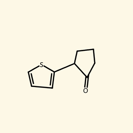 O=C1CCCC1c1cccs1